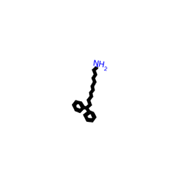 NCCCCCCCCCCCC(c1ccccc1)c1ccccc1